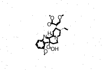 CC[C@@H]1CN2CC[C@@]3(OO)C(=Nc4cccc(OC)c43)[C@@H]2C[C@@H]1C(=COC)C(=O)OC